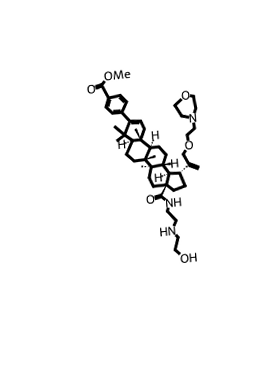 C=C(COCCN1CCOCC1)[C@@H]1CC[C@]2(C(=O)NCCNCCO)CC[C@]3(C)[C@H](CC[C@@H]4[C@@]5(C)CC=C(c6ccc(C(=O)OC)cc6)C(C)(C)[C@@H]5CC[C@]43C)[C@@H]12